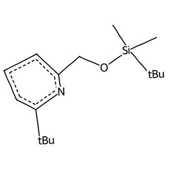 CC(C)(C)c1cccc(CO[Si](C)(C)C(C)(C)C)n1